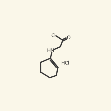 Cl.O=C(Cl)CNC1=CCCCC1